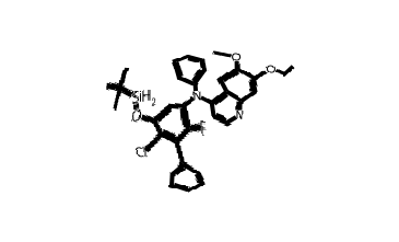 CCOc1cc2nccc(N(c3ccccc3)c3cc(O[SiH2]C(C)(C)C)c(Cl)c(-c4ccccc4)c3F)c2cc1OC